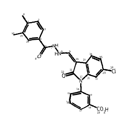 Cc1ccc(C(=O)NNC=C2C(=O)N(c3cccc(C(=O)O)c3)c3cc(Cl)ccc32)cc1C